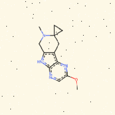 COc1cnc2[nH]c3c(c2n1)CC1(CC1)N(C)C3